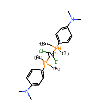 CN(C)c1ccc([PH](C(C)(C)C)(C(C)(C)C)[Pd-2]([Cl])([Cl])[PH](c2ccc(N(C)C)cc2)(C(C)(C)C)C(C)(C)C)cc1